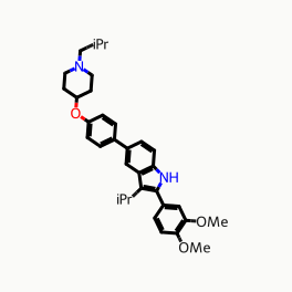 COc1ccc(-c2[nH]c3ccc(-c4ccc(OC5CCN(CC(C)C)CC5)cc4)cc3c2C(C)C)cc1OC